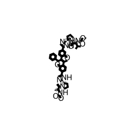 C=C([C@H](C)NC(=O)OC)N1CCC[C@H]1c1ncc(-c2ccc3c(c2)OC(c2ccccc2)C2=C3COc3cc(-c4cnc([C@@H]5CCCN5C(=O)[C@@H](NC(=O)OC)C(C)C)[nH]4)ccc32)[nH]1